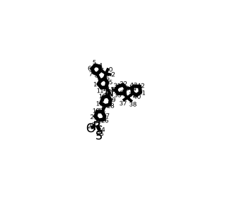 CC1(C)c2ccccc2-c2ccc(N(c3ccc(-c4ccc(P(=O)=S=S)cc4)cc3)c3ccc4c(c3)C(C)(C)c3ccccc3-4)cc21